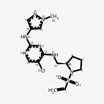 C=CS(=O)(=O)N1CCC[C@@H]1CNc1nc(Nc2cnn(C)c2)ncc1Cl